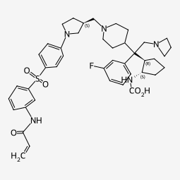 C=CC(=O)Nc1cccc(S(=O)(=O)c2ccc(N3CC[C@@H](CN4CCC(C(CN5CCC5)(c5cccc(F)c5)[C@H]5CCC[C@@H]5NC(=O)O)CC4)C3)cc2)c1